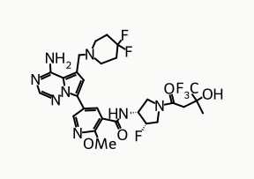 COc1ncc(-c2cc(CN3CCC(F)(F)CC3)c3c(N)ncnn23)cc1C(=O)N[C@@H]1CN(C(=O)CC(C)(O)C(F)(F)F)C[C@@H]1F